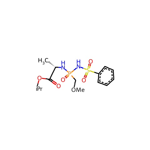 COCP(=O)(N[C@@H](C)C(=O)OC(C)C)NS(=O)(=O)c1ccccc1